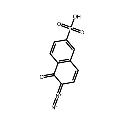 [N-]=[N+]=C1C=Cc2cc(S(=O)(=O)O)ccc2C1=O